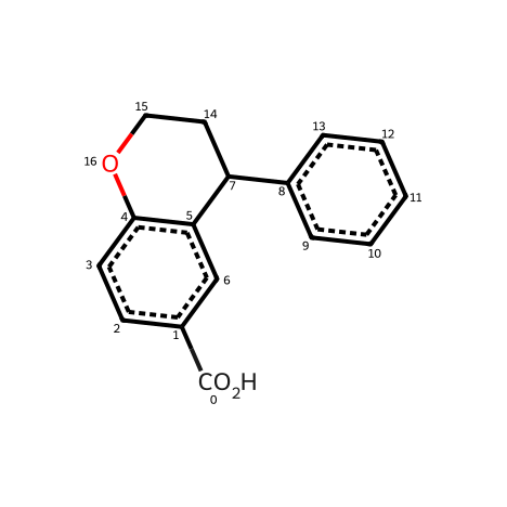 O=C(O)c1ccc2c(c1)C(c1ccccc1)CCO2